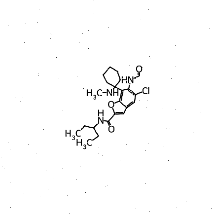 CCC(CC)NC(=O)c1cc2cc(Cl)c(NC=O)c(C3(NC)CCCCC3)c2o1